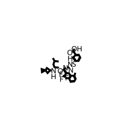 Cc1cccc(C)c1-c1nc(NSc2cccc(C(=O)O)c2)nc(OCC(CC(C)C)NC2CC3(CC3)C2)c1C(F)(F)F